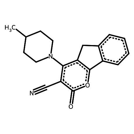 CC1CCN(c2c3c(oc(=O)c2C#N)-c2ccccc2C3)CC1